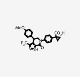 COc1ccc(C2CN(c3ccc(C4(C(=O)O)CC4)cc3)C(=O)c3[nH]nc(C(F)(F)F)c32)cc1